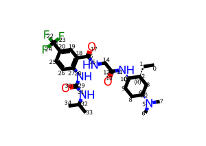 CC[C@@H]1C[C@H](N(C)C)CC[C@@H]1NC(=O)CNC(=O)c1cc(C(F)(F)F)ccc1NC(=O)NC(C)C